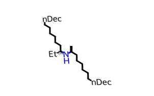 C=C(CCCCCCCCCCCCCCCC)N[C@@H](CC)CCCCCCCCCCCCCCCC